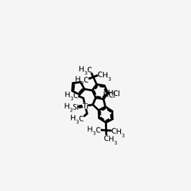 C[CH2][Ti](=[SiH2])([CH2]C)[CH]1c2cc(C(C)(C)C)ccc2-c2ccc(C(C)(C)C)c(C3=CC=CC3)c21.Cl.Cl